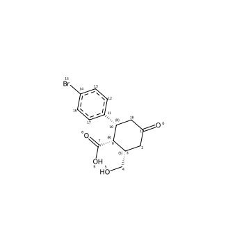 O=C1C[C@H](CO)[C@H](C(=O)O)[C@H](c2ccc(Br)cc2)C1